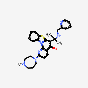 CN1CCCN(c2ccc3c(=O)c(C(C)(C)NCc4ccccn4)c4sc5ccccc5n4c3n2)CC1